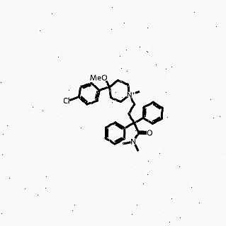 COC1(c2ccc(Cl)cc2)CC[N+](C)(CCC(C(=O)N(C)C)(c2ccccc2)c2ccccc2)CC1